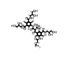 CNC(C(=O)c1c(I)c(NC(=O)COC)c(I)c(C(=O)NCC(O)CO)c1I)C(=O)N(C)c1c(I)c(C(=O)NCC(O)CO)c(I)c(C(=O)NCC(O)CO)c1I